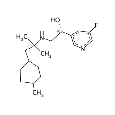 CC1CCC(CC(C)(C)NC[C@H](O)c2cncc(F)c2)CC1